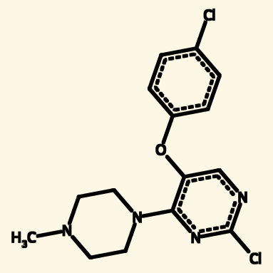 CN1CCN(c2nc(Cl)ncc2Oc2ccc(Cl)cc2)CC1